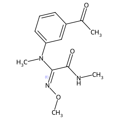 CNC(=O)/C(=N\OC)N(C)c1cccc(C(C)=O)c1